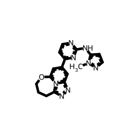 Cn1nccc1Nc1nccc(-c2cc3n4c(nnc4c2)CCCO3)n1